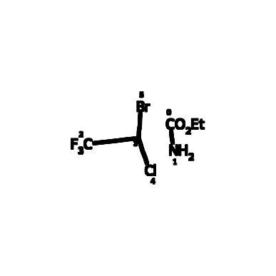 CCOC(N)=O.FC(F)(F)C(Cl)Br